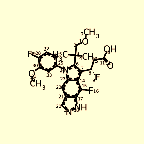 COCC(C)(C)c1c([C@@H](F)CC(=O)O)c2c(F)c3[nH]ncc3cc2n1-c1ccc(F)c(OC)c1